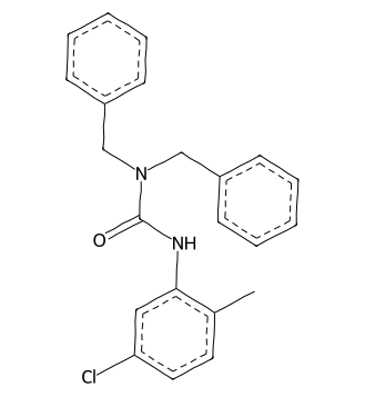 Cc1ccc(Cl)cc1NC(=O)N(Cc1ccccc1)Cc1ccccc1